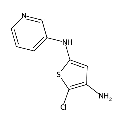 Nc1cc(Nc2[c]nccc2)sc1Cl